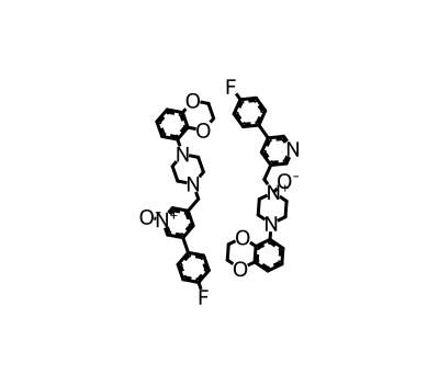 [O-][N+]1(Cc2cncc(-c3ccc(F)cc3)c2)CCN(c2cccc3c2OCCO3)CC1.[O-][n+]1cc(CN2CCN(c3cccc4c3OCCO4)CC2)cc(-c2ccc(F)cc2)c1